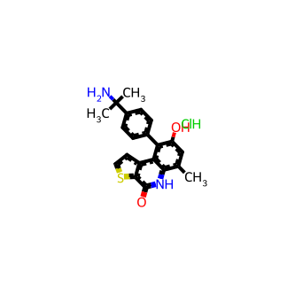 Cc1cc(O)c(-c2ccc(C(C)(C)N)cc2)c2c1[nH]c(=O)c1sccc12.Cl